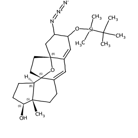 CC(C)(C)[Si](C)(C)OC1C=C2C=C3CC[C@@]4(C)[C@@H](CC[C@@H]4O)[C@@]34CC[C@]2(CC1N=[N+]=[N-])O4